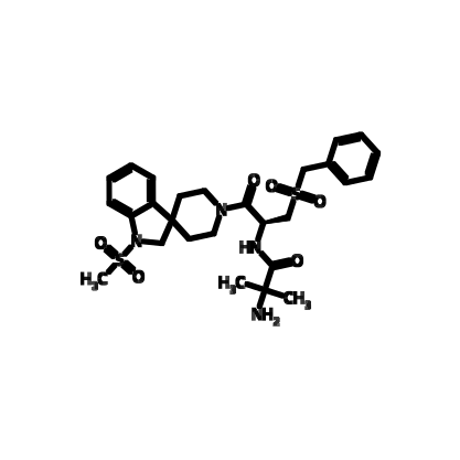 CC(C)(N)C(=O)N[C@H](CS(=O)(=O)Cc1ccccc1)C(=O)N1CCC2(CC1)CN(S(C)(=O)=O)c1ccccc12